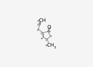 C#CCC1=CC(C)CC1=O